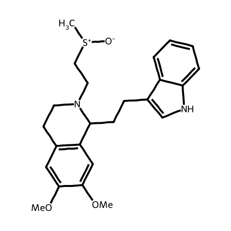 COc1cc2c(cc1OC)C(CCc1c[nH]c3ccccc13)N(CC[S+](C)[O-])CC2